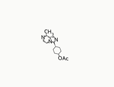 CC(=O)O[C@H]1CC[C@@H](c2ncc3c(C)nccn32)CC1